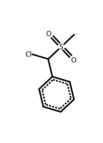 [CH2]S(=O)(=O)C(Cl)c1ccccc1